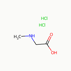 CNCC(=O)O.Cl.Cl